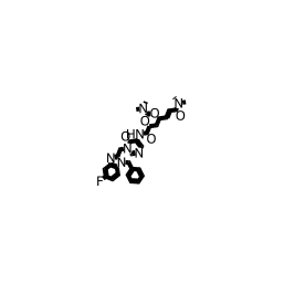 CN(C)C(=O)C=CCCC(OC(=O)N(C)C)C(=O)Nc1cncn(Cc2nc3cc(F)ccc3n2Cc2ccccc2)c1=O